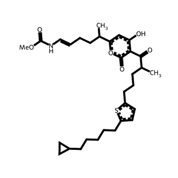 COC(=O)N/C=C/CCC(C)c1cc(O)c(C(=O)C(C)CCCc2ccc(CCCCCC3CC3)s2)c(=O)o1